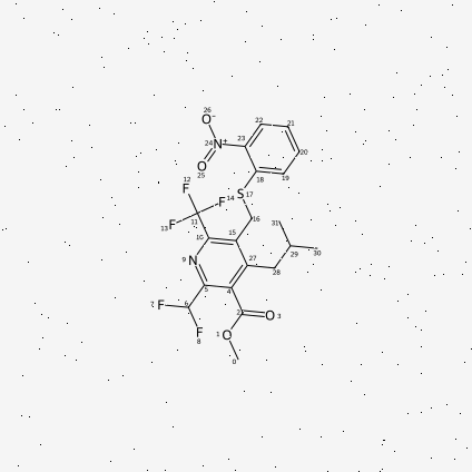 COC(=O)c1c(C(F)F)nc(C(F)(F)F)c(CSc2ccccc2[N+](=O)[O-])c1CC(C)C